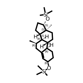 C[C@@H]1CC2=C[C@H](O[Si](C)(C)C)CC[C@@H]2[C@H]2CC[C@]3(C)[C@@H](O[Si](C)(C)C)CC[C@H]3[C@@H]21